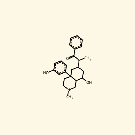 CN1CCC2(c3cccc(O)c3)CC(N(C)C(=O)c3ccccc3)CC(O)C2C1